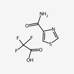 NC(=O)c1cscn1.O=C(O)C(F)(F)F